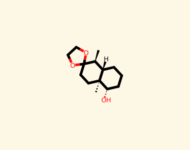 C[C@H]1[C@@H]2CCC[C@H](O)[C@@]2(C)CCC12OCCO2